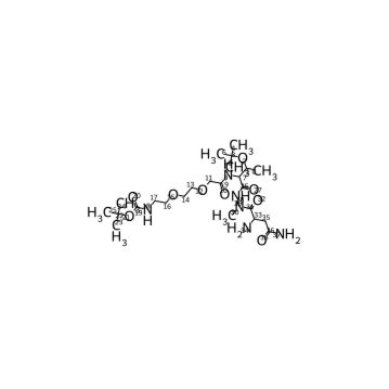 CC(OC(C)(C)C)C(NC(=O)COCCOCCNC(=O)OC(C)(C)C)C(=O)NN(C)C(=O)C(N)CC(N)=O